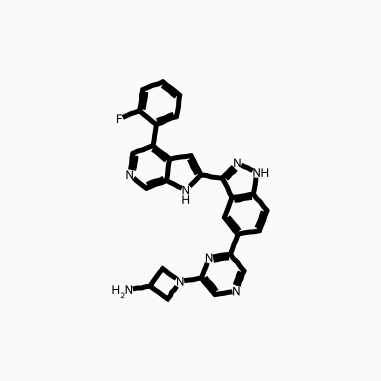 NC1CN(c2cncc(-c3ccc4[nH]nc(-c5cc6c(-c7ccccc7F)cncc6[nH]5)c4c3)n2)C1